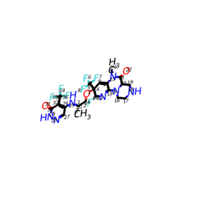 C[C@@H](COC1(C(F)(F)F)C=C2C(=N[C@@H]1F)N1CCNCC1C(=O)N2C)Nc1cn[nH]c(=O)c1C(F)(F)F